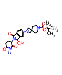 CC(C)(C)OC(=O)N1CCC2(CC1)CN(c1ccc3c(c1)C(O)N(C1CCC(=O)NC1=O)C3=O)C2